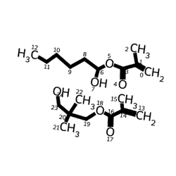 C=C(C)C(=O)OC(O)CCCCC.C=C(C)C(=O)OCC(C)(C)CO